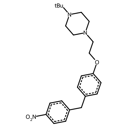 CC(C)(C)N1CCN(CCOc2ccc(Cc3ccc([N+](=O)[O-])cc3)cc2)CC1